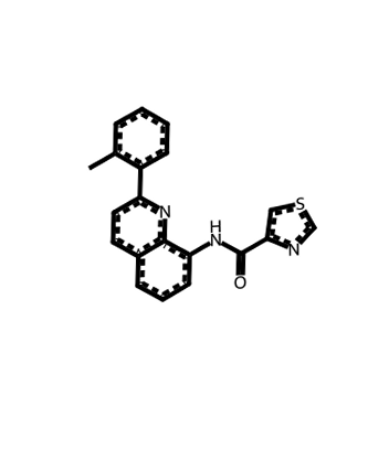 Cc1ccccc1-c1ccc2cccc(NC(=O)c3cscn3)c2n1